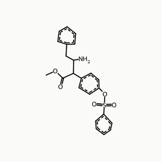 COC(=O)C(c1ccc(OS(=O)(=O)c2ccccc2)cc1)C(N)Cc1ccccc1